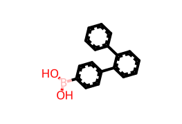 OB(O)c1ccc(-c2ccccc2-c2ccccc2)cc1